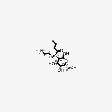 CCCC(=O)N(SCCN)[C@H]1C(O)O[C@H](CO)[C@@H](O)[C@@H]1O